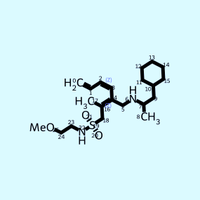 C=C/C=C\C(CNC(C)CC1CCCCC1)=C(/C)CS(=O)(=O)NCCOC